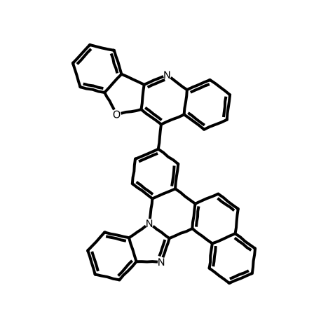 c1ccc2c(c1)ccc1c3cc(-c4c5ccccc5nc5c4oc4ccccc45)ccc3n3c4ccccc4nc3c21